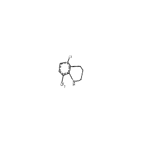 FC(F)(F)c1ccc(Cl)c2c1NCCC2